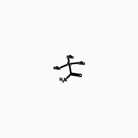 CCC[CH2][Sn]([CH2]CCC)([CH2]CCC)[C](N)=O